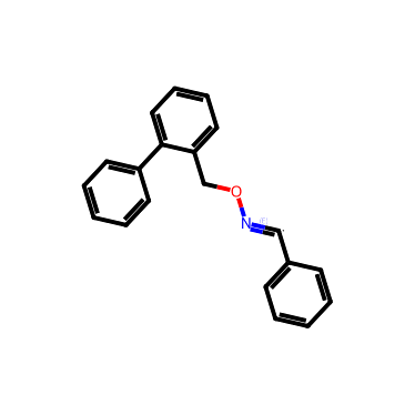 [C](=N\OCc1ccccc1-c1ccccc1)/c1ccccc1